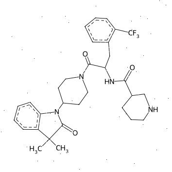 CC1(C)C(=O)N(C2CCN(C(=O)C(Cc3ccccc3C(F)(F)F)NC(=O)C3CCCNC3)CC2)c2ccccc21